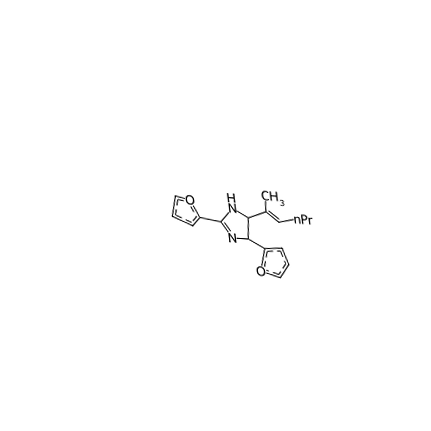 CCC/C=C(\C)C1NC(c2ccco2)=NC1c1ccco1